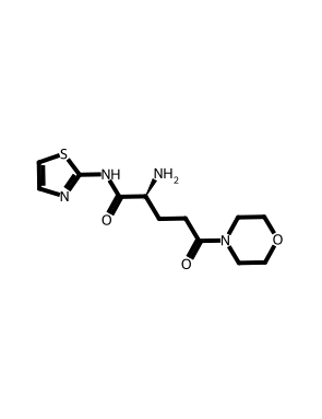 N[C@@H](CCC(=O)N1CCOCC1)C(=O)Nc1nccs1